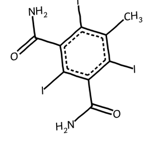 Cc1c(I)c(C(N)=O)c(I)c(C(N)=O)c1I